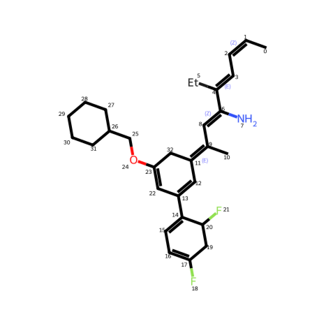 C\C=C/C=C(CC)/C(N)=C/C(C)=C1/C=C(C2=CC=C(F)CC2F)C=C(OCC2CCCCC2)C1